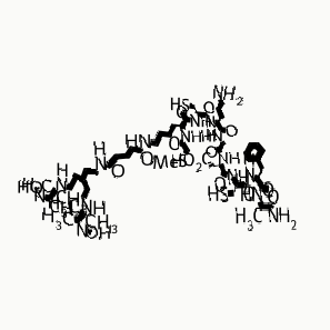 CSCC(=O)N[C@@H](CCCCNC(=O)CCCC(=O)NCCC(CCNC(C)(C)/C(C)=N\O)CCNC(C)(C)/C(C)=N\O)C(=O)N[C@@H](CS)C(=O)N[C@@H](CCCN)C(=O)NCC(=O)N[C@@H](CC(=O)O)C(=O)N[C@@H](CS)C(=O)N[C@@H](Cc1ccccc1)C(=O)N[C@@H](C)C(N)=O